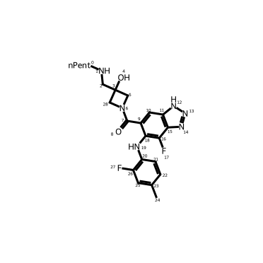 CCCCCNCC1(O)CN(C(=O)c2cc3[nH]nnc3c(F)c2Nc2ccc(C)cc2F)C1